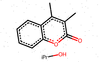 CC(C)O.Cc1c(C)c2ccccc2oc1=O